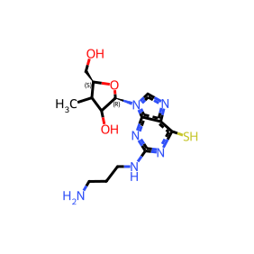 CC1C(O)[C@H](n2cnc3c(S)nc(NCCCN)nc32)O[C@@H]1CO